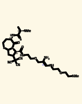 CNCCOCCN/C=C(\N)COCCNC(=O)[C@@H]1C(C(C#N)(C#N)C#N)CC2SCC[C@H](NC(=S)[C@H](C)NC)C(=O)N21